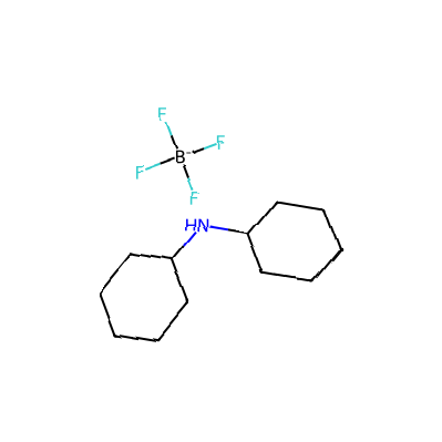 C1CCC(NC2CCCCC2)CC1.F[B-](F)(F)F